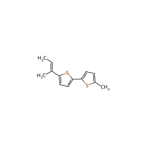 C/C=C(\C)c1ccc(-c2ccc(C)s2)s1